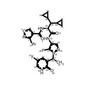 CC(C)c1nocc1C(=O)N[C@H](C(=O)Nc1cnn([C@@H](C)c2cc(F)c[nH]c2=O)c1F)C(C1CC1)C1CC1